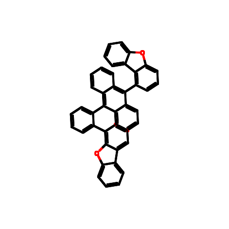 c1ccc(-c2cccc3c2oc2ccccc23)c(-c2c3ccccc3c(-c3cccc4oc5ccccc5c34)c3ccccc23)c1